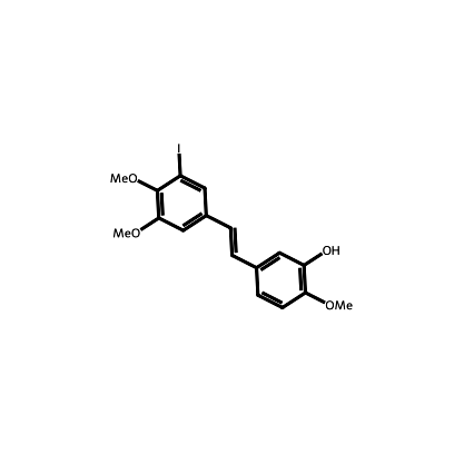 COc1ccc(C=Cc2cc(I)c(OC)c(OC)c2)cc1O